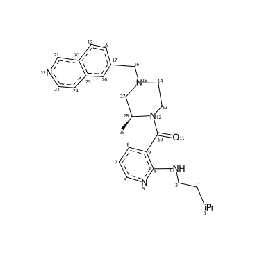 CC(C)CCNc1ncccc1C(=O)N1CCN(Cc2ccc3cnccc3c2)C[C@@H]1C